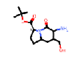 CC(C)(C)OC(=O)[C@@H]1CCC2CC(CO)C(N)C(=O)N21